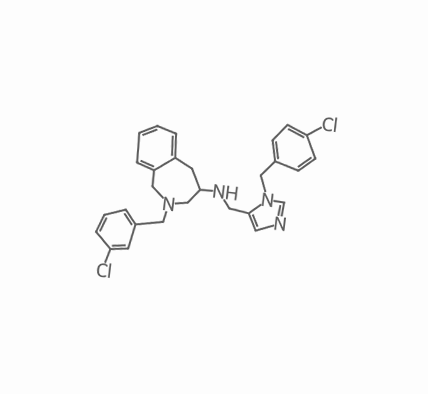 Clc1ccc(Cn2cncc2CNC2Cc3ccccc3CN(Cc3cccc(Cl)c3)C2)cc1